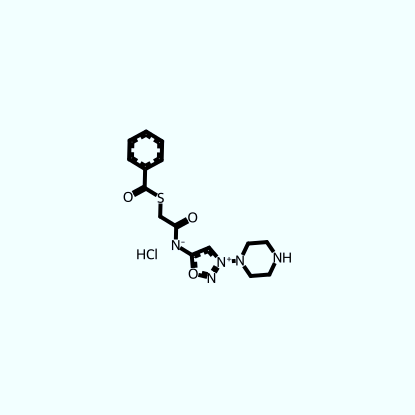 Cl.O=C(CSC(=O)c1ccccc1)[N-]c1c[n+](N2CCNCC2)no1